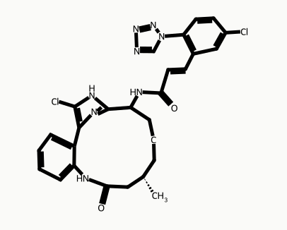 C[C@H]1CCCC(NC(=O)/C=C/c2cc(Cl)ccc2-n2cnnn2)c2nc(c(Cl)[nH]2)-c2ccccc2NC(=O)C1